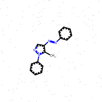 Cc1c(/N=N/c2ccccc2)cnn1-c1ccccc1